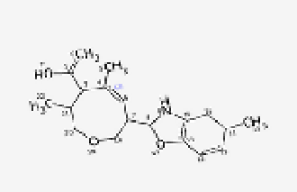 C=C(O)C1/C(C)=C\C(C2NC3=C(C=CC(C)C3)O2)COCC1C